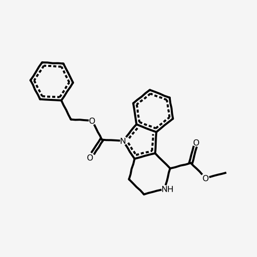 COC(=O)C1NCCc2c1c1ccccc1n2C(=O)OCc1ccccc1